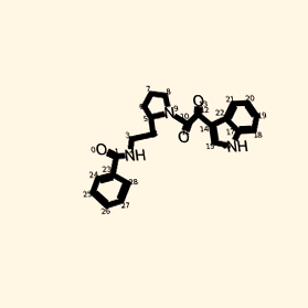 O=C(NCCC1CCCN1C(=O)C(=O)c1c[nH]c2ccccc12)c1ccccc1